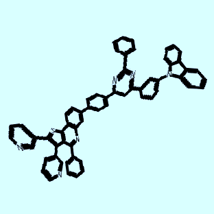 c1ccc(-c2nc(-c3ccc(-c4ccc5c(c4)nc(-c4ccccc4)c4c(-c6cccnc6)c(-c6cccnc6)sc45)cc3)cc(-c3cccc(-n4c5ccccc5c5ccccc54)c3)n2)cc1